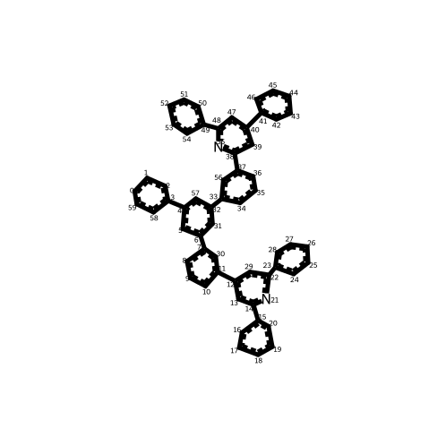 c1ccc(-c2cc(-c3cccc(-c4cc(-c5ccccc5)nc(-c5ccccc5)c4)c3)cc(-c3cccc(-c4cc(-c5ccccc5)cc(-c5ccccc5)n4)c3)c2)cc1